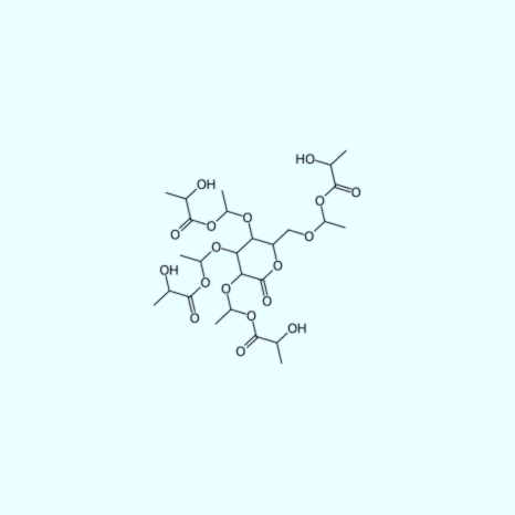 CC(OCC1OC(=O)C(OC(C)OC(=O)C(C)O)C(OC(C)OC(=O)C(C)O)C1OC(C)OC(=O)C(C)O)OC(=O)C(C)O